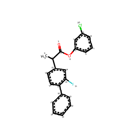 CC(C(=O)Oc1cccc(Cl)c1)c1ccc(-c2ccccc2)c(F)c1